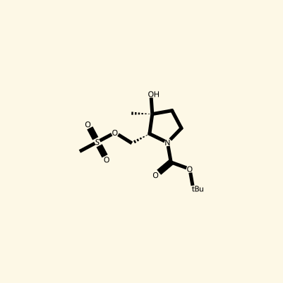 CC(C)(C)OC(=O)N1CC[C@](C)(O)[C@H]1COS(C)(=O)=O